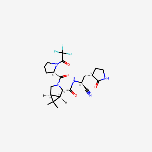 CC1(C)[C@@H]2[C@@H](C(=O)N[C@H](C#N)C[C@@H]3CCNC3=O)N(C(=O)[C@@H]3CCCN3C(=O)C(F)(F)F)C[C@@H]21